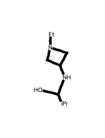 CCN1CC(NC(O)C(C)C)C1